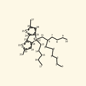 CCCCCCC(CCCC)C[Si]1(CCCCC)c2cc(C)sc2-c2sc(C)cc21